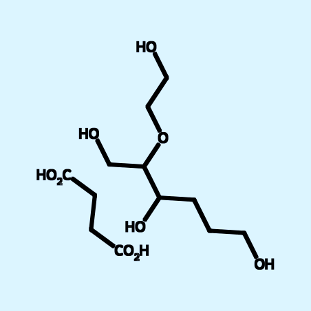 O=C(O)CCC(=O)O.OCCCC(O)C(CO)OCCO